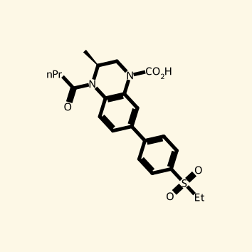 CCCC(=O)N1c2ccc(-c3ccc(S(=O)(=O)CC)cc3)cc2N(C(=O)O)C[C@@H]1C